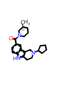 C[C@H]1CCCN(C(=O)c2ccc3[nH]c4c(c3c2)CN(C2CCCC2)CC4)C1